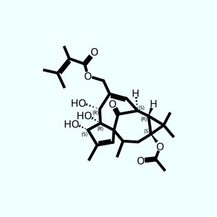 CC(=O)O[C@@]12CC(C)C34C=C(C)[C@H](O)[C@@]3(O)[C@H](O)C(COC(=O)C(C)=C(C)C)=C[C@H](C4=O)[C@@H]1C2(C)C